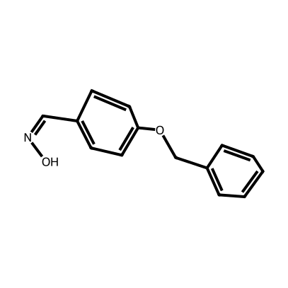 O/N=C\c1ccc(OCc2ccccc2)cc1